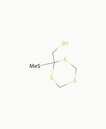 CSC1(CS)SCSCS1